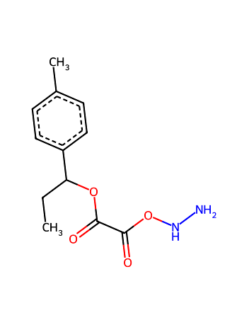 CCC(OC(=O)C(=O)ONN)c1ccc(C)cc1